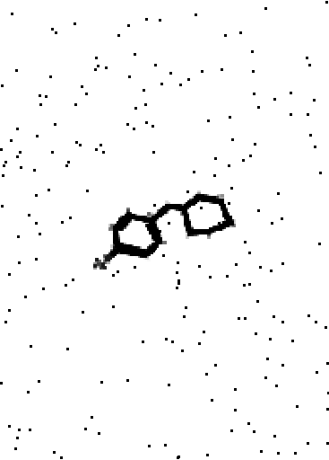 CC(=O)c1ccc(CC2CCCCC2)cc1